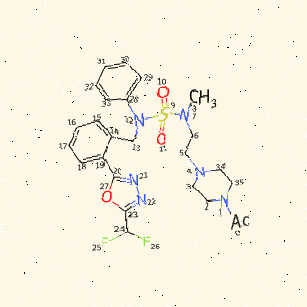 CC(=O)N1CCN(CCN(C)S(=O)(=O)N(Cc2ccccc2-c2nnc(C(F)F)o2)c2ccccc2)CC1